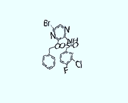 O=S(=O)(Nc1ncc(Br)nc1OCc1ccccc1)c1ccc(F)c(Cl)c1